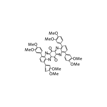 COc1ccc(-c2ccc(-c3ccc(OC)c(OC)c3)c3nc4c(nc23)C(=O)c2nc3c(-c5ccc(OC)c(OC)c5)ccc(-c5ccc(OC)c(OC)c5)c3nc2C4=O)cc1OC